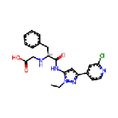 CCn1nc(-c2ccnc(Cl)c2)cc1NC(=O)[C@H](Cc1ccccc1)NCC(=O)O